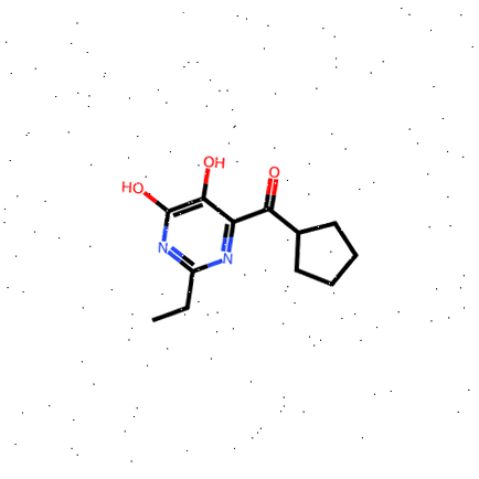 CCc1nc(O)c(O)c(C(=O)C2CCCC2)n1